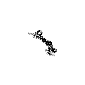 COC(=O)N[C@H](C(=O)N1CCCCOCC[C@H]1c1nc(-c2ccc(-c3ccc4c(ccc5nc([C@@H]6C[C@@]7(CCCOC7)CN6C(=O)[C@@H](NC(=O)OC)C(C)C)[nH]c54)c3)cc2)c[nH]1)C(C)C